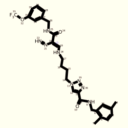 Cc1ccc(C)c(CNC(=O)c2cn(CCCCN/C=C(\N=N)C(=O)NCc3cccc(OC(F)(F)F)c3)nn2)c1